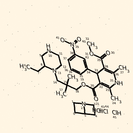 C1CN2CCC12.CCC1CNCCN1CC(C)(C)COC(=O)C1=C(C)NC(C)=C(C(=O)OC)C1c1cccc([N+](=O)[O-])c1.Cl.Cl.Cl